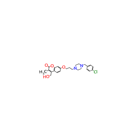 Cc1c(CO)c2ccc(OCCCN3CCN(Cc4ccc(Cl)cc4)CC3)cc2oc1=O